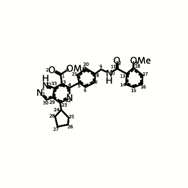 COC(=O)c1c(-c2ccc(CNC(=O)c3ccccc3OC)cc2)nc(C2CCCC2)c2cn[nH]c12